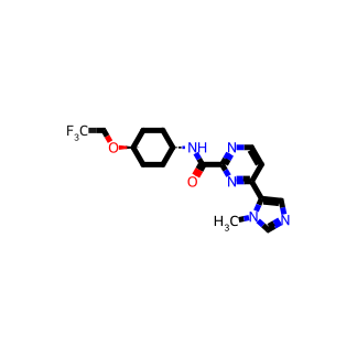 Cn1cncc1-c1ccnc(C(=O)N[C@H]2CC[C@H](OCC(F)(F)F)CC2)n1